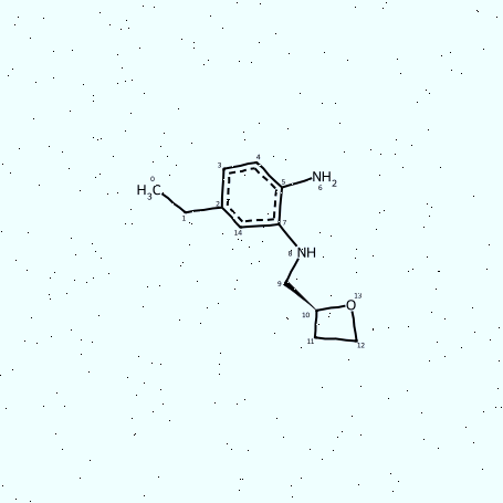 CCc1ccc(N)c(NC[C@@H]2CCO2)c1